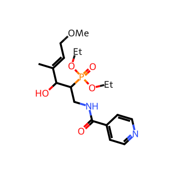 CCOP(=O)(OCC)C(CNC(=O)c1ccncc1)C(O)C(C)=CCOC